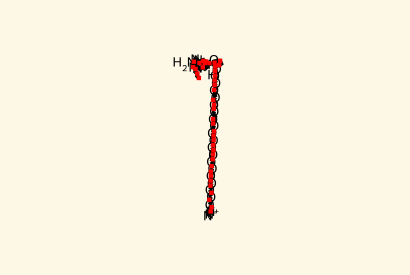 CCCCc1nc2c(N)nnc(OC(C)C)c2n1Cc1ccc(CNC(=O)C2(COCCOCCOCCOCCOCCOCCOCCOCCOCCOCCOCCOCCOCCOCCOCCOCCOCCOCCOCCOCCN=[N+]=[N-])CCCC2)cc1